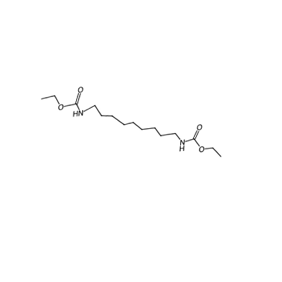 CCOC(=O)NCCCCCCCCCNC(=O)OCC